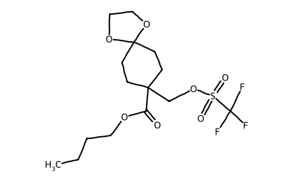 CCCCOC(=O)C1(COS(=O)(=O)C(F)(F)F)CCC2(CC1)OCCO2